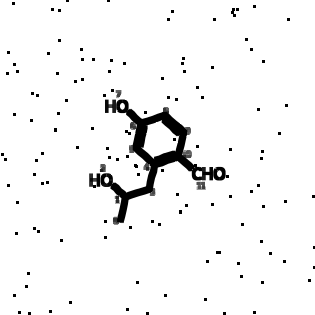 CC(O)Cc1cc(O)ccc1C=O